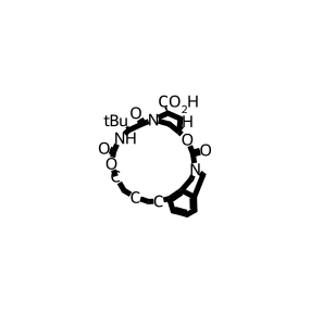 CC(C)(C)[C@@H]1NC(=O)OCCCCCc2cccc3c2CN(C3)C(=O)O[C@@H]2C[C@@H](C(=O)O)N(C2)C1=O